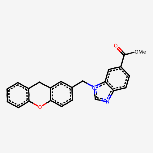 COC(=O)c1ccc2ncn(Cc3ccc4c(c3)Cc3ccccc3O4)c2c1